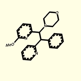 COc1cccc(C(C(c2ccccc2)c2ccccn2)N2CCOCC2)n1